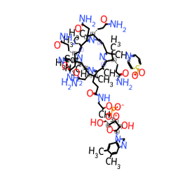 C/C1=C2N=C(/C=C3N=C(/C(C)=C4/[C@@H](CCC(N)=O)[C@](C)(CC(N)=O)[C@](C)([C@@H]5N=C1[C@](C)(CCC(=O)NCC(C)OP(=O)([O-])O[C@H]1[C@@H](O)[C@@H](n6cnc7cc(C)c(C)cc76)O[C@@H]1CO)[C@H]5CC(N)=O)[N]4[Co+][C]#N)[C@@](C)(CC(N)=O)[C@@H]\3CCC(N)=O)C(C)(C)[C@@H]/2CCC(N)=O.O=S1(=O)C=CC=NC=C1